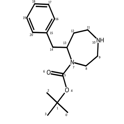 CC(C)(C)OC(=O)N1CCNCCC1Cc1ccccc1